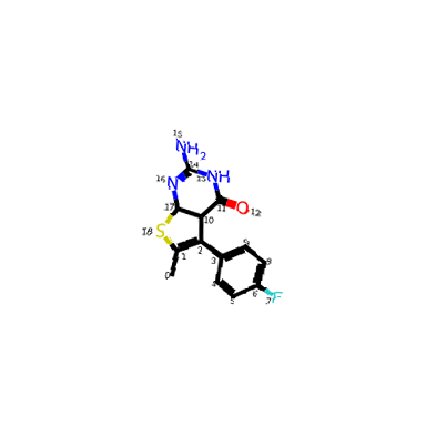 CC1=C(c2ccc(F)cc2)C2C(=O)NC(N)=NC2S1